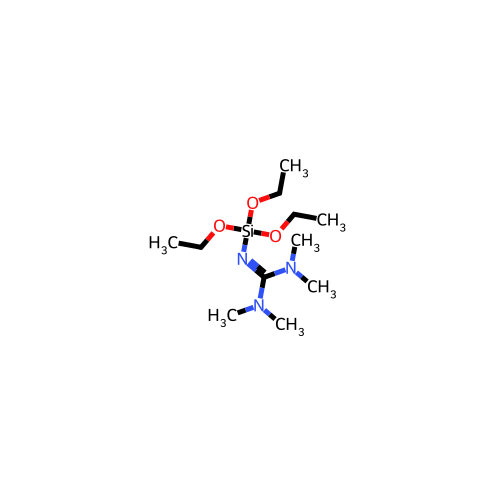 CCO[Si](N=C(N(C)C)N(C)C)(OCC)OCC